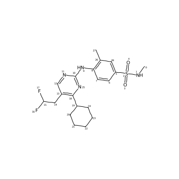 CNS(=O)(=O)c1ccc(Nc2ncc(CC(F)F)c(C3CCCCC3)n2)c(C)c1